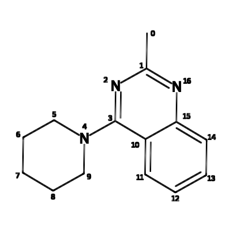 Cc1nc(N2CCCCC2)c2ccccc2n1